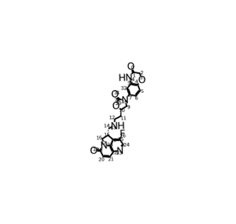 O=C1COc2ccc(N3C[C@@H](CCNC[C@H]4Cn5c(=O)ccc6ncc(F)c4c65)OC3=O)cc2N1